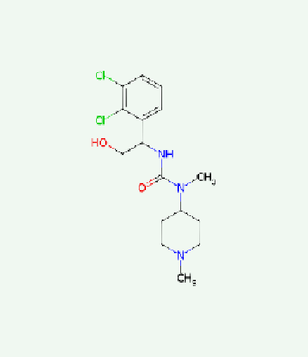 CN1CCC(N(C)C(=O)NC(CO)c2cccc(Cl)c2Cl)CC1